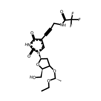 CCO[C@@H](C)OC1C[C@H](n2cc(C#CCNC(=O)C(F)(F)F)c(=O)[nH]c2=O)O[C@@H]1CO